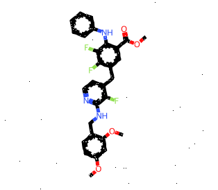 COC(=O)c1cc(Cc2ccnc(NCc3ccc(OC)cc3OC)c2F)c(F)c(F)c1Nc1ccccc1